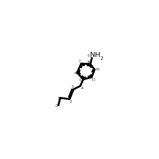 CCC=CCc1ccc(N)cc1